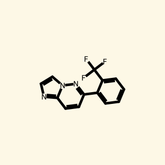 FC(F)(F)c1ccccc1-c1ccc2nccn2n1